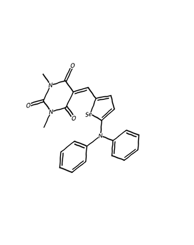 CN1C(=O)C(=Cc2ccc(N(c3ccccc3)c3ccccc3)[se]2)C(=O)N(C)C1=O